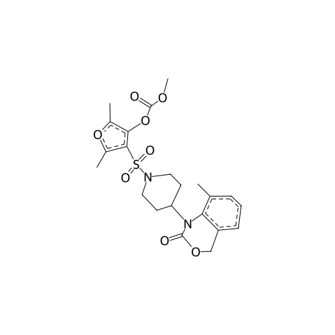 COC(=O)Oc1c(C)oc(C)c1S(=O)(=O)N1CCC(N2C(=O)OCc3cccc(C)c32)CC1